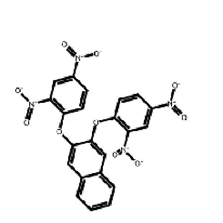 O=[N+]([O-])c1ccc(Oc2cc3ccccc3cc2Oc2ccc([N+](=O)[O-])cc2[N+](=O)[O-])c([N+](=O)[O-])c1